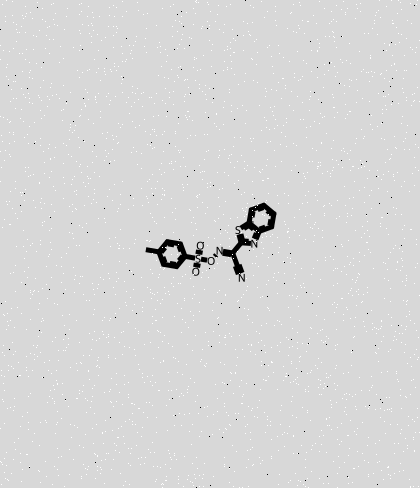 Cc1ccc(S(=O)(=O)O/N=C(\C#N)c2nc3ccccc3s2)cc1